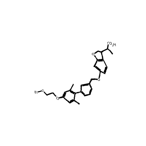 CCOCCOc1cc(C)c(-c2cccc(COc3ccc4c(c3)OCC4C(C)C(=O)O)c2)c(C)c1